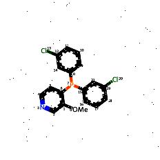 COc1cnccc1P(c1cccc(Cl)c1)c1cccc(Cl)c1